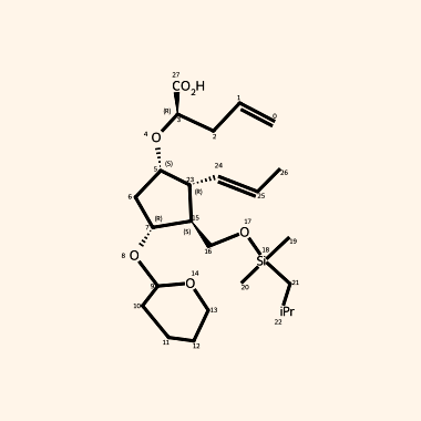 C=CC[C@@H](O[C@H]1C[C@@H](OC2CCCCO2)[C@H](CO[Si](C)(C)CC(C)C)[C@H]1C=CC)C(=O)O